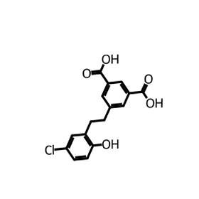 O=C(O)c1cc(CCc2cc(Cl)ccc2O)cc(C(=O)O)c1